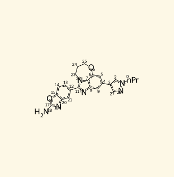 CCCn1cc(-c2cc3c4c(c2)nc(-c2ccc5oc(N)nc5c2)n4CCCO3)cn1